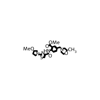 COC(=O)c1cc(CN2CCO[C@@H](C)C2)ccc1NC(=O)c1csc(N2CC[C@H](OC)C2)n1